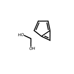 OCO.c1cc2cc-2c1